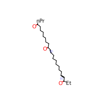 CCCC(=O)CCCCCCCC(=O)/C=C/CCCCCCC/C=C/C(=O)CC